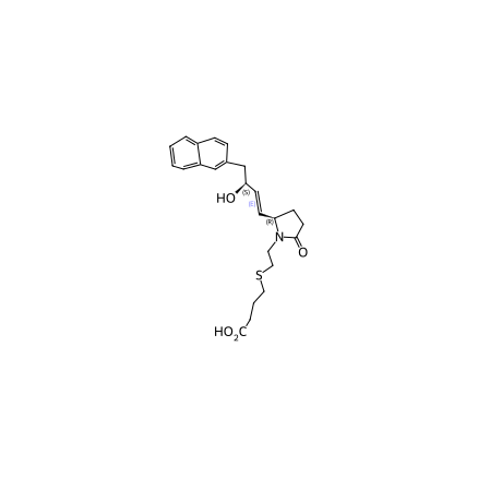 O=C(O)CCCSCCN1C(=O)CC[C@@H]1/C=C/[C@@H](O)Cc1ccc2ccccc2c1